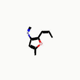 C=Nc1cc(C)oc1/C=C\C